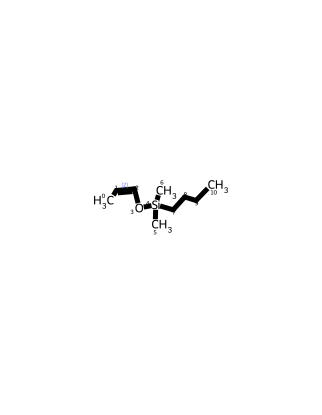 C/C=C\O[Si](C)(C)CCCC